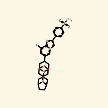 CS(=O)(=O)c1ccc(-c2cn3cc(C4CCN(C5CC6CCC(C5)N6C5CCOCC5)CC4)cc(F)c3n2)cc1